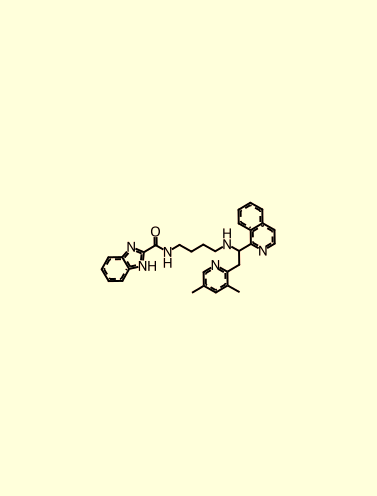 Cc1cnc(CC(NCCCCNC(=O)c2nc3ccccc3[nH]2)c2nccc3ccccc23)c(C)c1